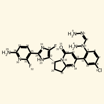 N/N=C\N(N)c1ccc(Cl)cc1-c1cc(=O)n2c(n1)CC[C@@H]2c1[nH]c(-c2ccc(N)nc2F)nc1F